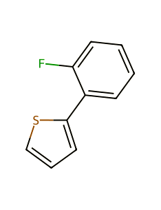 Fc1ccccc1-c1cccs1